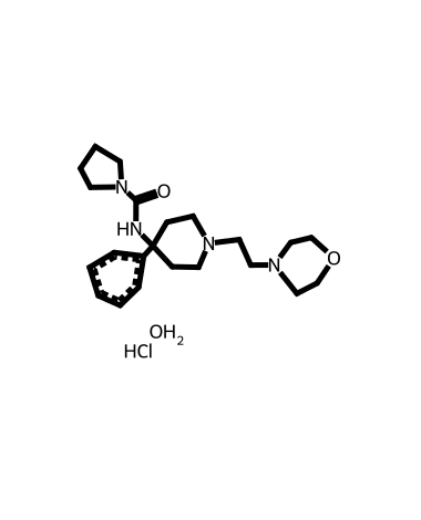 Cl.O.O=C(NC1(c2ccccc2)CCN(CCN2CCOCC2)CC1)N1CCCC1